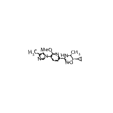 COc1nc(C2=NO[C@H](C3CC3)[C@H](C)N2)ccc1-n1cnc(C)c1